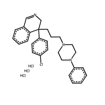 Cl.Cl.Cl.Clc1ccc(C2(CCCN3CCN(c4ccccc4)CC3)CN=Cc3ccccc32)cc1